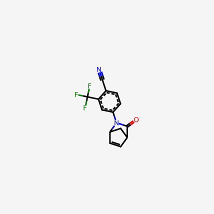 N#Cc1ccc(N2C(=O)C3C=CC2C3)cc1C(F)(F)F